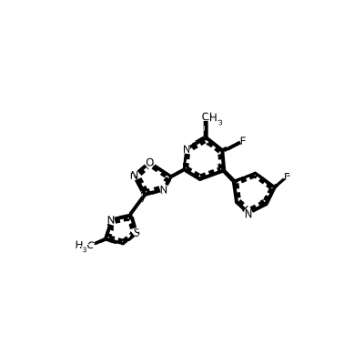 Cc1csc(-c2noc(-c3cc(-c4cncc(F)c4)c(F)c(C)n3)n2)n1